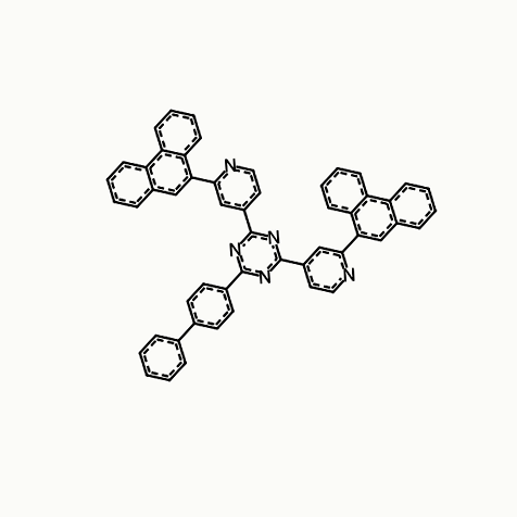 c1ccc(-c2ccc(-c3nc(-c4ccnc(-c5cc6ccccc6c6ccccc56)c4)nc(-c4ccnc(-c5cc6ccccc6c6ccccc56)c4)n3)cc2)cc1